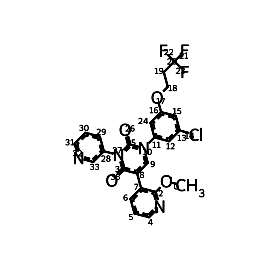 COc1ncccc1-c1cn(-c2cc(Cl)cc(OCCC(F)(F)F)c2)c(=O)n(-c2cccnc2)c1=O